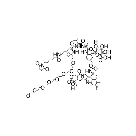 CC[C@@]1(O)C(=O)OCc2c1cc1n(c2=O)Cc2c-1nc1cc(F)c(C)c3c1c2[C@@H](NC(=O)OCc1ccc(NC(=O)[C@H](C)NC(=O)[C@@H](NC(=O)[C@H](CCCCNC(=O)CCCCCN2C(=O)C=CC2=O)NC(=O)CCOCCOCCOCCOCCOCCOCCOCCOC)C(C)C)c(O[C@@H]2O[C@H](C(=O)O)[C@@H](O)[C@H](O)[C@H]2O)c1)CC3